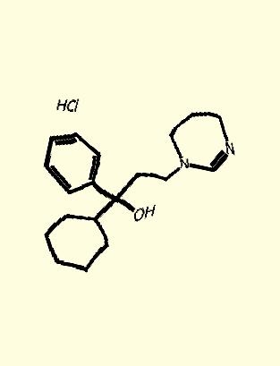 Cl.OC(CCN1C=NCCC1)(c1ccccc1)C1CCCCC1